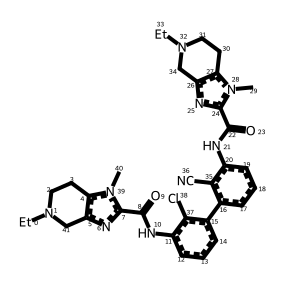 CCN1CCc2c(nc(C(=O)Nc3cccc(-c4cccc(NC(=O)c5nc6c(n5C)CCN(CC)C6)c4C#N)c3Cl)n2C)C1